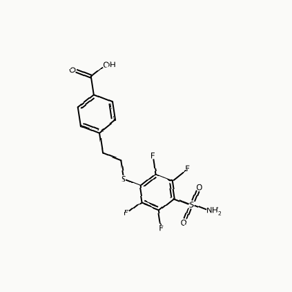 NS(=O)(=O)c1c(F)c(F)c(SCCc2ccc(C(=O)O)cc2)c(F)c1F